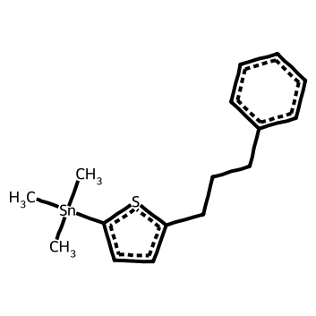 [CH3][Sn]([CH3])([CH3])[c]1ccc(CCCc2ccccc2)s1